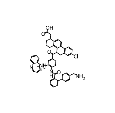 C1=CNc2ccccc2N=C1.Cc1cc(C(=O)C2Cc3cc(Cl)ccc3-c3ccc4c(c32)CCCC4CC(=O)O)ccc1NC(=O)c1ccccc1-c1ccc(CN)cc1